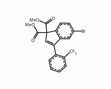 COC(=O)C1(C(=O)OC)C=C(c2ccccc2C(F)(F)F)c2cc(Br)ccc21